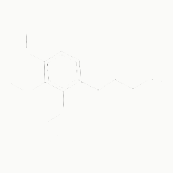 COc1cc[n+](CCC[SiH3])c(OC)c1OC.[Cl-]